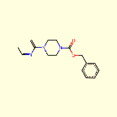 C=C(/N=C\C)N1CCN(C(=O)OCc2ccccc2)CC1